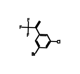 C=C(c1cc(Cl)cc(Br)c1)C(F)(F)F